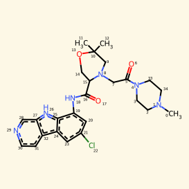 CN1CCN(C(=O)CN2CC(C)(C)OCC2C(=O)Nc2cc(Cl)cc3c2[nH]c2cnccc23)CC1